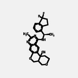 Cc1nc(N[C@H](C)c2cccc3c2CCC3(F)F)c2cc3c(cc2n1)OCC1COCCC31C#N